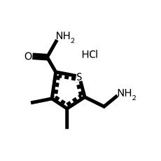 Cc1c(CN)sc(C(N)=O)c1C.Cl